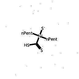 CCCCC[N+]([S-])(CCCCC)C(=S)S